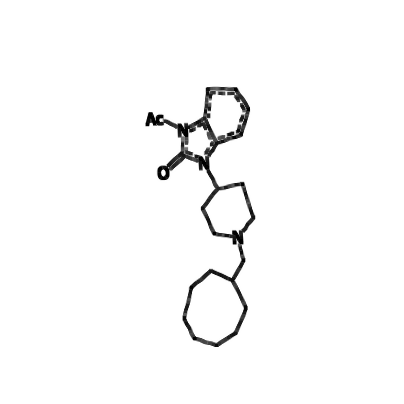 CC(=O)n1c(=O)n(C2CCN(CC3CCCCCCC3)CC2)c2ccccc21